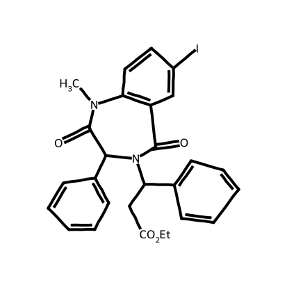 CCOC(=O)CC(c1ccccc1)N1C(=O)c2cc(I)ccc2N(C)C(=O)C1c1ccccc1